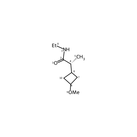 CCNC(=O)[C@H](C)C1CC(OC)C1